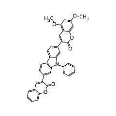 COc1cc(OC)c2cc(-c3ccc4c5ccc(-c6cc7ccccc7oc6=O)cc5n(-c5ccccc5)c4c3)c(=O)oc2c1